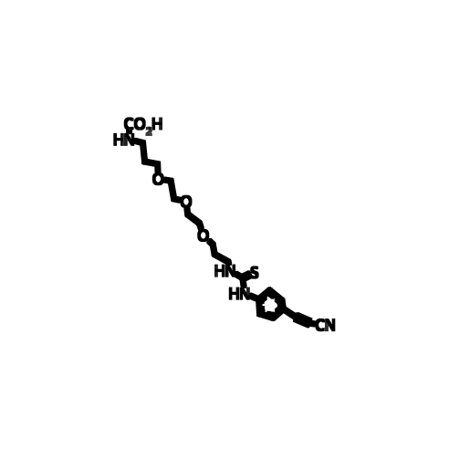 N#CC#Cc1ccc(NC(=S)NCCCOCCOCCOCCCNC(=O)O)cc1